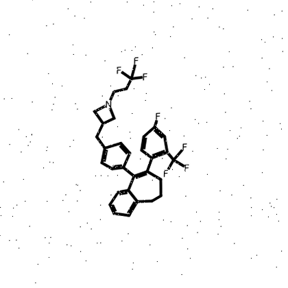 Fc1ccc(C2=C(c3ccc(CC4CN(CCC(F)(F)F)C4)cc3)c3ccccc3CCC2)c(C(F)(F)F)c1